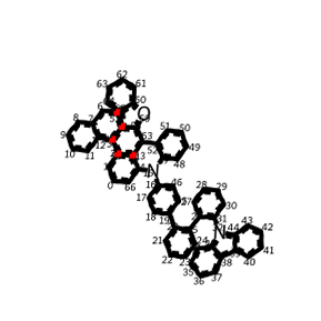 c1cc(-c2cccc3ccccc23)cc(N(c2ccc(-c3ccccc3-c3ccccc3-n3c4ccccc4c4ccccc43)cc2)c2ccccc2-c2cccc3c2oc2ccccc23)c1